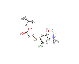 CCCCC(CC)COC(=O)CCSc1cc2c(cc1Br)N(C)CCO2